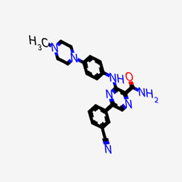 CN1CCN(c2ccc(Nc3nc(-c4cccc(C#N)c4)cnc3C(N)=O)cc2)CC1